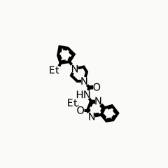 CCOc1nc2ccccc2nc1NC(=O)N1CCN(c2ccccc2CC)CC1